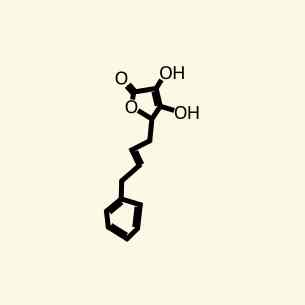 O=C1OC(CC=CCc2ccccc2)C(O)=C1O